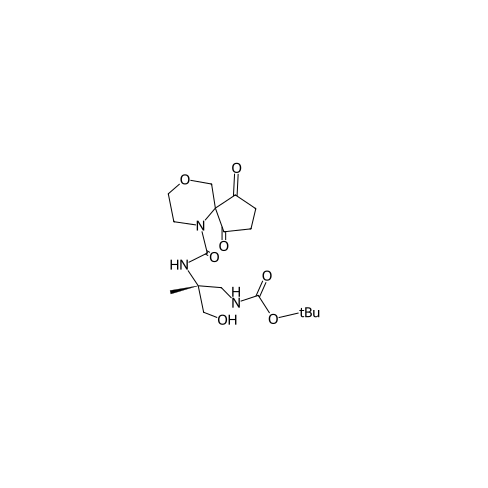 CC(C)(C)OC(=O)NC[C@](C)(CO)NC(=O)N1CCOCC12C(=O)CCC2=O